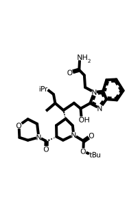 CC(C)CC(C)C(CC(O)c1nc2ccccc2n1CCC(N)=O)[C@H]1C[C@@H](C(=O)N2CCOCC2)CN(C(=O)OC(C)(C)C)C1